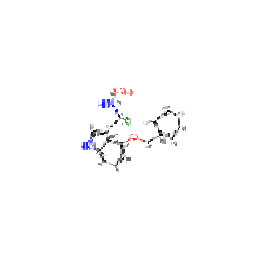 ONC(Cl)c1c[nH]c2cccc(OCc3ccccc3)c12